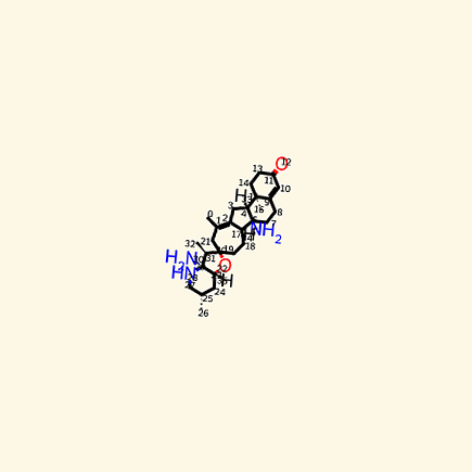 CC1=C2C[C@H]3[C@@](N)(CCC4=CC(=O)CC[C@@]43C)[C@@H]2CCC2(C1)O[C@@H]1C[C@H](C)CN[C@@]1(N)[C@H]2C